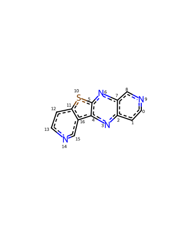 c1cc2nc3c(nc2cn1)sc1ccncc13